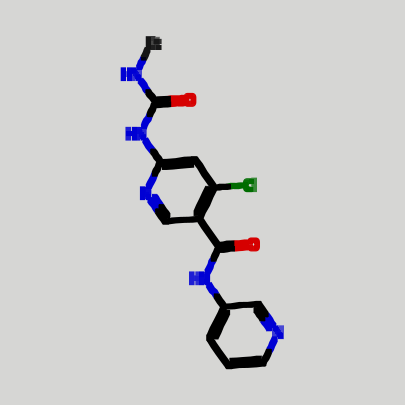 CCNC(=O)Nc1cc(Cl)c(C(=O)Nc2cccnc2)cn1